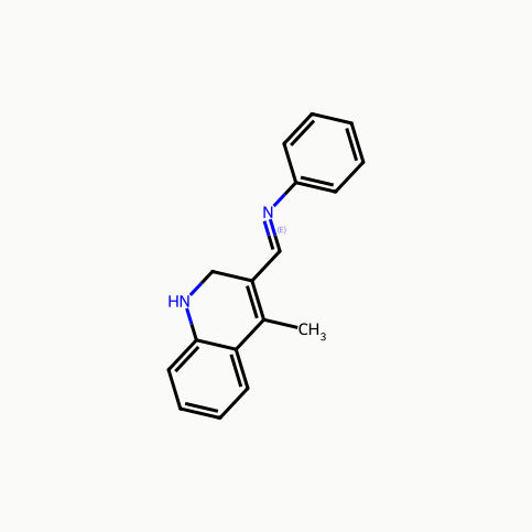 CC1=C(/C=N/c2ccccc2)CNc2ccccc21